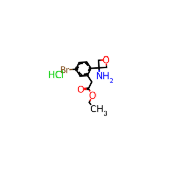 CCOC(=O)Cc1cc(Br)ccc1C1(N)COC1.Cl